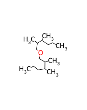 CCCC(C)C(C)COCC(C)C(C)CCC